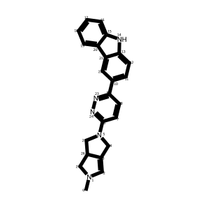 CN1C=C2CN(c3ccc(-c4ccc5[nH]c6ccccc6c5c4)nn3)CC2C1